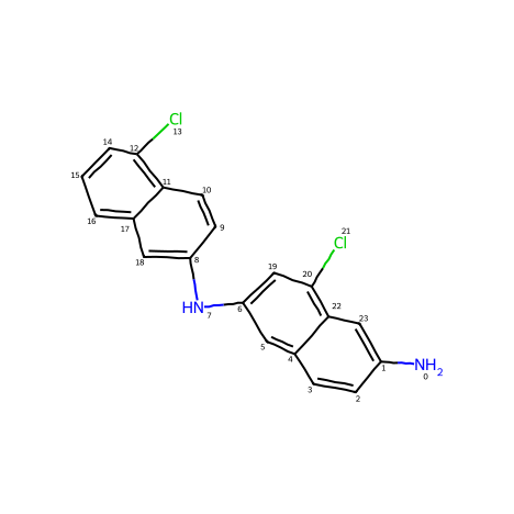 Nc1ccc2cc(Nc3ccc4c(Cl)cccc4c3)cc(Cl)c2c1